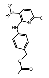 CC(=O)OCc1ccc(Nc2nc(Cl)ccc2[N+](=O)[O-])cc1